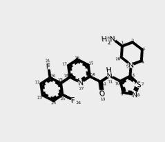 NC1CCCN(c2sncc2NC(=O)c2cccc(-c3c(F)cccc3F)n2)C1